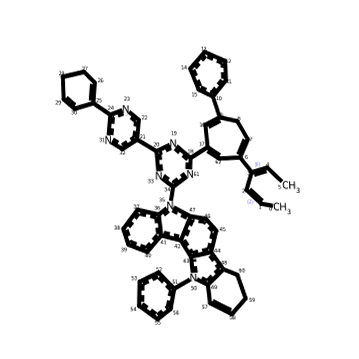 C/C=C\C(=C/C)C1=CCC(c2ccccc2)=CC(c2nc(-c3cnc(C4=CCCC=C4)nc3)nc(-n3c4ccccc4c4c5c(ccc43)c3c(n5-c4ccccc4)C=CCC3)n2)=C1